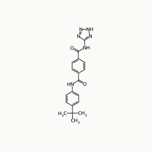 CC(C)(C)c1ccc(NC(=O)c2ccc(C(=O)Nc3nn[nH]n3)cc2)cc1